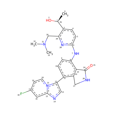 C[C@H](O)c1ccc(Nc2ccc(-c3cnc4cc(F)ccn34)c3c2C(=O)NC3)nc1CN(C)C